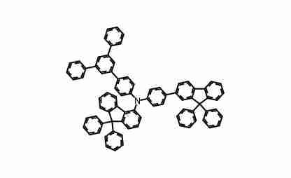 c1ccc(-c2cc(-c3ccccc3)cc(-c3ccc(N(c4ccc(-c5ccc6c(c5)C(c5ccccc5)(c5ccccc5)c5ccccc5-6)cc4)c4cccc5c4-c4ccccc4C5(c4ccccc4)c4ccccc4)cc3)c2)cc1